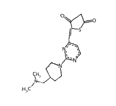 CN(C)CC1CCN(c2nccc(/C=C3\SC(=O)CC3=O)n2)CC1